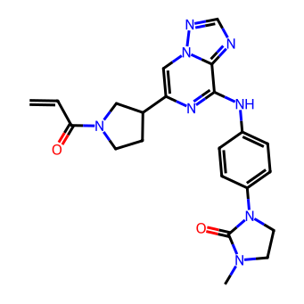 C=CC(=O)N1CCC(c2cn3ncnc3c(Nc3ccc(N4CCN(C)C4=O)cc3)n2)C1